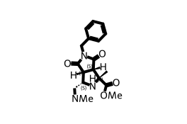 CNC[C@H]1N[C@@](C)(C(=O)OC)[C@H]2C(=O)N(Cc3ccccc3)C(=O)[C@@H]12